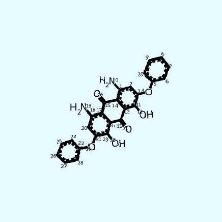 Nc1cc(Oc2ccccc2)c(O)c2c1C(=O)c1c(N)cc(Oc3ccccc3)c(O)c1C2=O